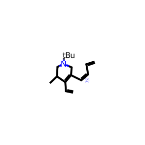 C=C/C=C\C1=C(C=C)C(C)CN(C(C)(C)C)C1